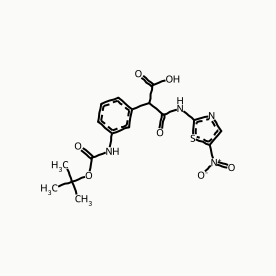 CC(C)(C)OC(=O)Nc1cccc(C(C(=O)O)C(=O)Nc2ncc([N+](=O)[O-])s2)c1